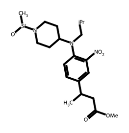 COC(=O)CC(C)c1ccc(N(CC(C)C)C2CCN([S+](C)[O-])CC2)c([N+](=O)[O-])c1